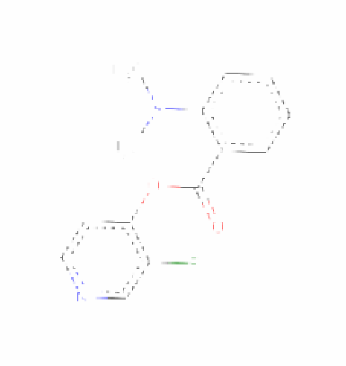 CN(C)c1ccccc1C(=O)Oc1c[c]ncc1F